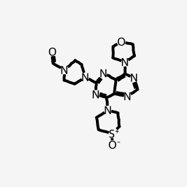 O=CN1CCN(c2nc(N3CC[S+]([O-])CC3)c3ncnc(N4CCOCC4)c3n2)CC1